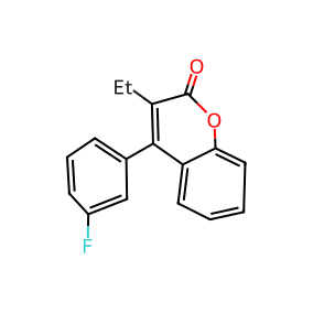 CCc1c(-c2cccc(F)c2)c2ccccc2oc1=O